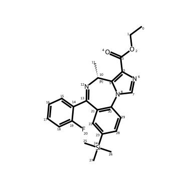 CCOC(=O)c1ncn2c1[C@@H](C)N=C(c1ccccc1F)c1cc([Si](C)(C)C)ccc1-2